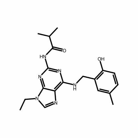 CCn1cnc2c(NCc3cc(C)ccc3O)nc(NC(=O)C(C)C)nc21